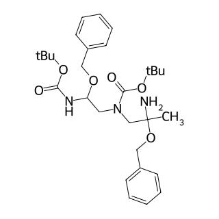 CC(C)(C)OC(=O)NC(CN(CC(C)(N)OCc1ccccc1)C(=O)OC(C)(C)C)OCc1ccccc1